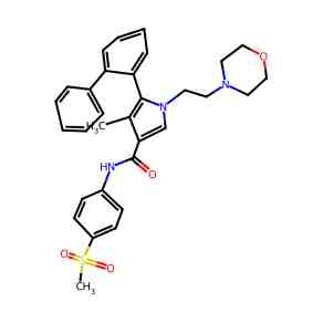 Cc1c(C(=O)Nc2ccc(S(C)(=O)=O)cc2)cn(CCN2CCOCC2)c1-c1ccccc1-c1ccccc1